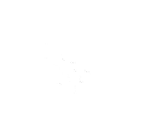 CSCC(C)N(O)C(CO)c1c[nH]c2c(=O)[nH]c(N)nc12